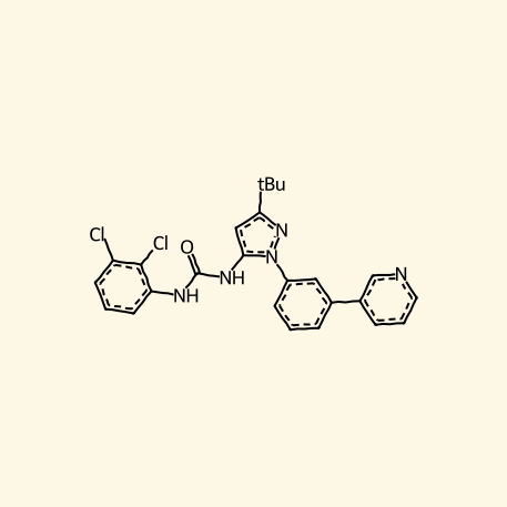 CC(C)(C)c1cc(NC(=O)Nc2cccc(Cl)c2Cl)n(-c2cccc(-c3cccnc3)c2)n1